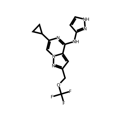 FC(F)(F)OCc1cc2c(Nc3cc[nH]n3)nc(C3CC3)cn2n1